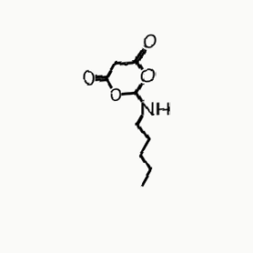 CCCCCNC1OC(=O)CC(=O)O1